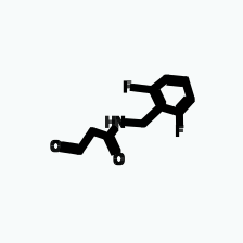 O=CCC(=O)NCc1c(F)cccc1F